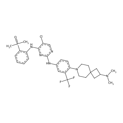 CN(C)C1CC2(CCN(c3ccc(Nc4ncc(Cl)c(Nc5ccccc5P(C)(C)=O)n4)cc3C(F)(F)F)CC2)C1